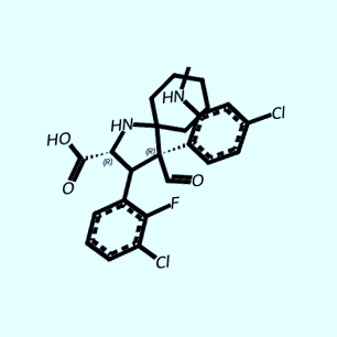 CNc1cc(Cl)ccc1[C@]1(C=O)C(c2cccc(Cl)c2F)[C@H](C(=O)O)NC12CCCCC2